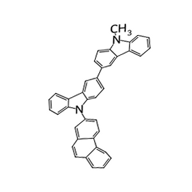 Cn1c2ccccc2c2cc(-c3ccc4c(c3)c3ccccc3n4-c3ccc4c(ccc5ccccc54)c3)ccc21